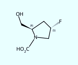 O=C(O)N1C[C@@H](F)C[C@@H]1CO